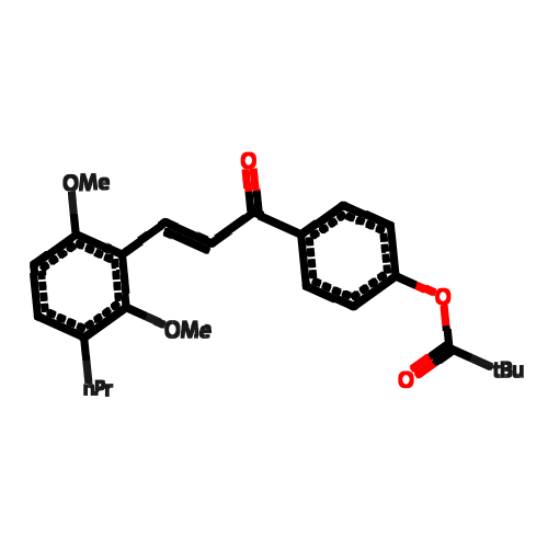 CCCc1ccc(OC)c(C=CC(=O)c2ccc(OC(=O)C(C)(C)C)cc2)c1OC